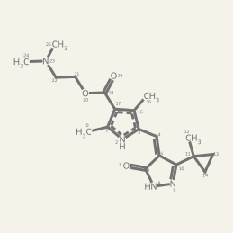 Cc1[nH]c(C=C2C(=O)NN=C2C2(C)CC2)c(C)c1C(=O)OCCN(C)C